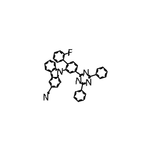 N#Cc1ccc2c(c1)c1ccccc1n2-c1cc(-c2nc(-c3ccccc3)nc(-c3ccccc3)n2)ccc1-c1ccccc1F